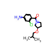 CC(C)CO[C@@H]1CCN(C(=O)c2ccc(N)cc2Cl)C1